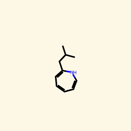 C[C](C)CC1=CC=CC=CN1